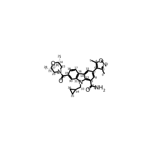 Cc1noc(C)c1-c1cc(C(N)=O)c2c(c1)c1ccc(C(=O)N3C[C@@H](C)O[C@@H](C)C3)cc1n2CC1CC1